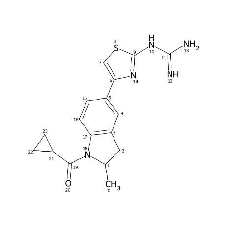 CC1Cc2cc(-c3csc(NC(=N)N)n3)ccc2N1C(=O)C1CC1